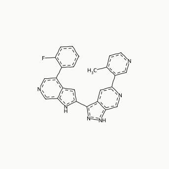 Cc1ccncc1-c1cc2c(-c3cc4c(-c5ccccc5F)cncc4[nH]3)n[nH]c2cn1